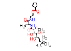 CO[C@@H](C(=O)N[C@@H](C)C(=O)NCCOC(=O)C1CCCC1)[C@H](O)[C@@H](O)[C@H](O)/C=C/C(C)(C)C